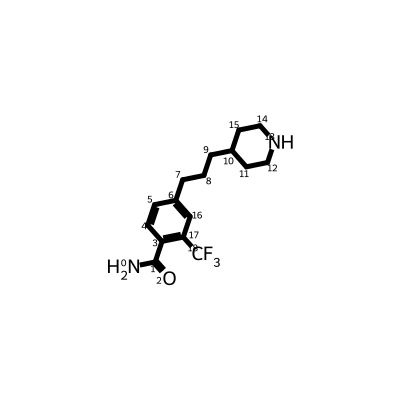 NC(=O)c1ccc(CCCC2CCNCC2)cc1C(F)(F)F